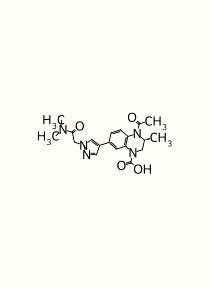 CC(=O)N1c2ccc(-c3cnn(CC(=O)N(C)C)c3)cc2N(C(=O)O)C[C@@H]1C